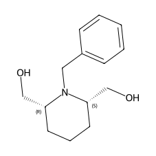 OC[C@@H]1CCC[C@H](CO)N1Cc1ccccc1